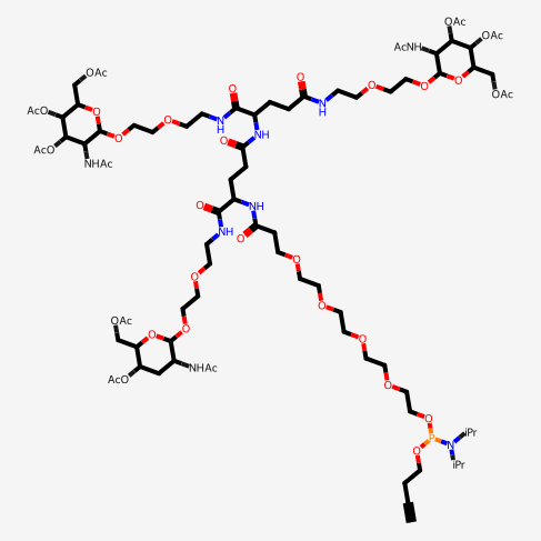 C#CCCOP(OCCOCCOCCOCCOCCC(=O)NC(CCC(=O)NC(CCC(=O)NCCOCCOC1OC(COC(C)=O)C(OC(C)=O)C(OC(C)=O)C1NC(C)=O)C(=O)NCCOCCOC1OC(COC(C)=O)C(OC(C)=O)C(OC(C)=O)C1NC(C)=O)C(=O)NCCOCCOC1OC(COC(C)=O)C(OC(C)=O)CC1NC(C)=O)N(C(C)C)C(C)C